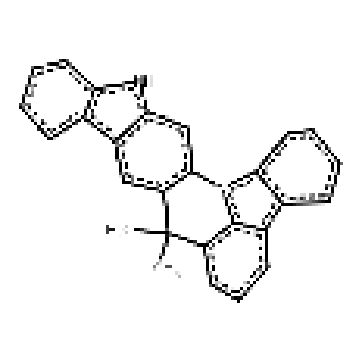 CC1(C)c2cc3c(cc2-n2c4ccccc4c4cccc1c42)[nH]c1ccccc13